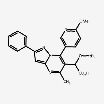 COc1ccc(-c2c(C(OC(C)(C)C)C(=O)O)c(C)nc3cc(-c4ccccc4)nn23)cn1